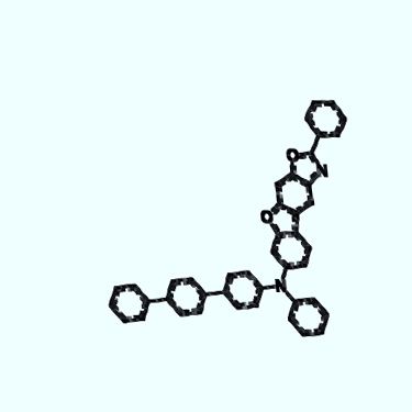 c1ccc(-c2ccc(-c3ccc(N(c4ccccc4)c4ccc5c(c4)oc4cc6oc(-c7ccccc7)nc6cc45)cc3)cc2)cc1